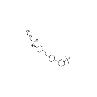 CCOCC(=O)N[C@H]1CC[C@H](CCN2CCC(c3cccc(C(F)(F)F)c3)CC2)CC1